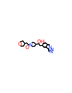 O=C(CC1CCOCC1)N1CCC(C(O)CC2C=Cc3cn4nncc4c3=C2)CC1